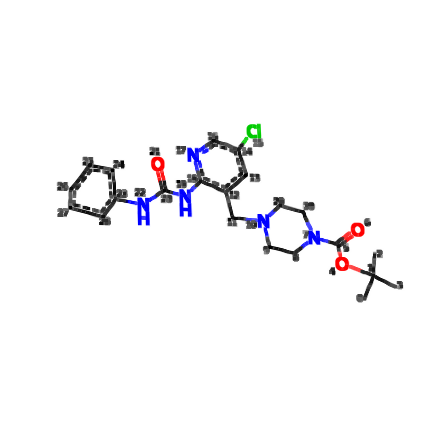 CC(C)(C)OC(=O)N1CCN(Cc2cc(Cl)cnc2NC(=O)Nc2ccccc2)CC1